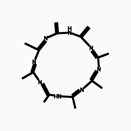 C=c1nc(C)nc(C)nc(C)[nH]c(C)nc(C)nc(C)nc(=C)[nH]1